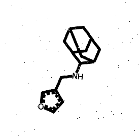 c1cc(CNC2C3CC4CC(C3)CC2C4)co1